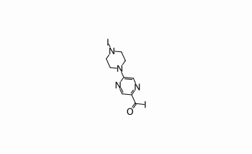 O=C(I)c1cnc(N2CCN(I)CC2)cn1